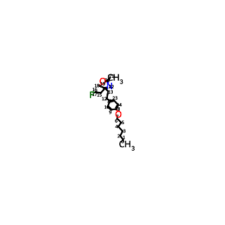 CCCCCCCOc1ccc(CCC2(CCF)COC(C)=N2)cc1